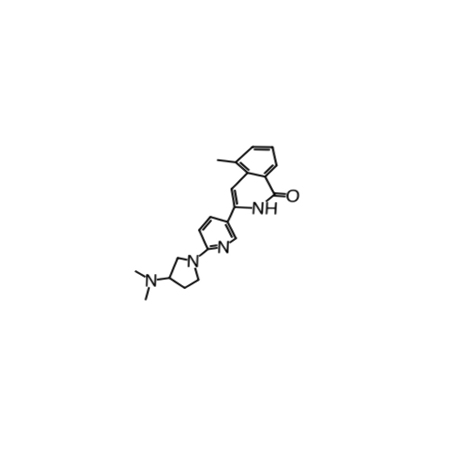 Cc1cccc2c(=O)[nH]c(-c3ccc(N4CCC(N(C)C)C4)nc3)cc12